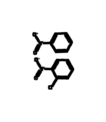 O=[N+]([O-])c1ccccc1.O=[N+]([O-])c1ccccc1Cl